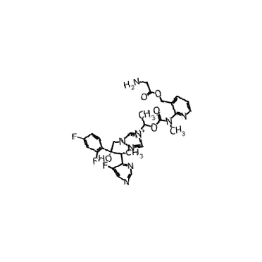 CC(OC(=O)N(C)c1ncccc1COC(=O)CN)[n+]1cnn(C[C@](O)(c2ccc(F)cc2F)[C@@H](C)c2ncncc2F)c1